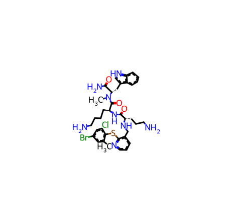 Cc1cc(Br)cc(Cl)c1Sc1ncccc1CN[C@@H](CCCN)C(=O)N[C@@H](CCCCN)C(=O)N(C)[C@@H](Cc1c[nH]c2ccccc12)C(N)=O